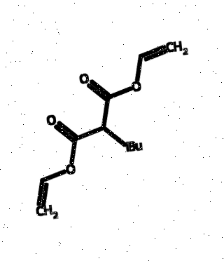 C=COC(=O)C(C(=O)OC=C)C(C)CC